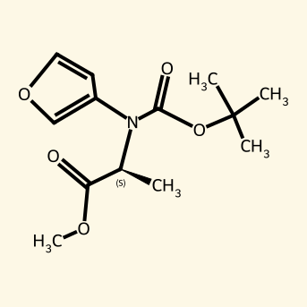 COC(=O)[C@H](C)N(C(=O)OC(C)(C)C)c1ccoc1